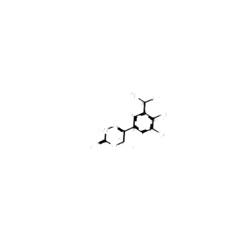 C[C@@H]1OC(=O)NN=C1c1cc(Br)c(Cl)c(C(F)F)c1